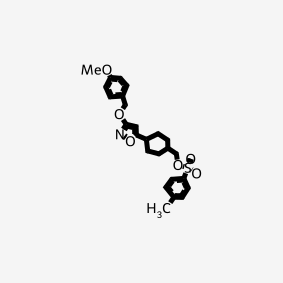 COc1ccc(COc2cc(C3CCC(COS(=O)(=O)c4ccc(C)cc4)CC3)on2)cc1